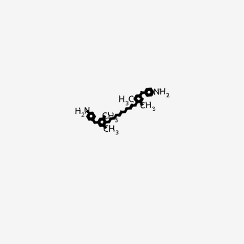 Cc1cc(Cc2ccc(N)cc2)cc(C)c1CCCCCCCCCCCc1c(C)cc(Cc2ccc(N)cc2)cc1C